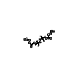 CC(C)(COC(=O)OOC(C)(C)C)N=NC(C)(C)COC(=O)OOC(C)(C)C